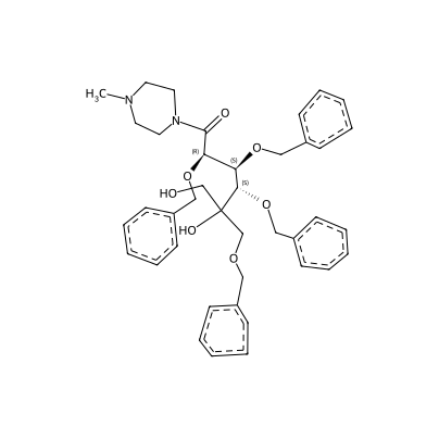 CN1CCN(C(=O)[C@H](OCc2ccccc2)[C@@H](OCc2ccccc2)[C@H](OCc2ccccc2)C(O)(CO)COCc2ccccc2)CC1